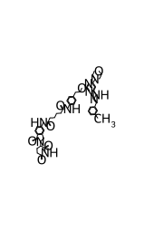 Cc1cccc(/C=N/Nc2cc(N3CCOCC3)nc(OCCc3ccc(NC(=O)CCCCC(=O)Nc4ccc5c(c4)CN(C4CCC(=O)NC4=O)C5=O)cc3)n2)c1